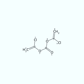 C=C(Cl)OC(=O)OC(=C)Cl